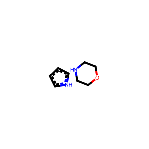 C1COCCN1.c1cc[nH]c1